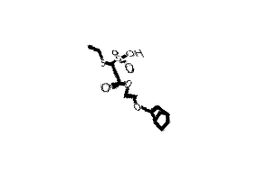 CCSC(C(=O)OCCOC1CC2CCC1C2)S(=O)(=O)O